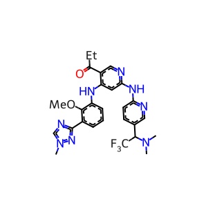 CCC(=O)c1cnc(Nc2ccc(C(N(C)C)C(F)(F)F)cn2)cc1Nc1cccc(-c2ncn(C)n2)c1OC